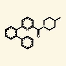 CC1CCN(C(=O)c2cccc(-c3ccccc3-c3ccccc3)n2)CC1